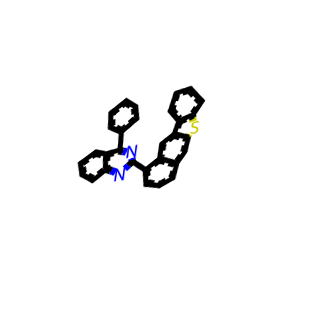 c1ccc(-c2nc(-c3cccc4cc5sc6ccccc6c5cc34)nc3ccccc23)cc1